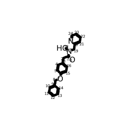 O=C(Cc1ccc(OCc2ccccc2)cc1)N(O)Cc1ccccn1